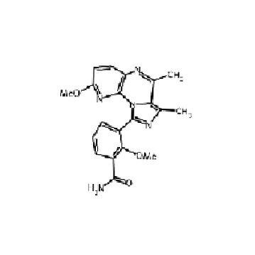 COc1ccc2nc(C)c3c(C)nc(-c4cccc(C(N)=O)c4OC)n3c2n1